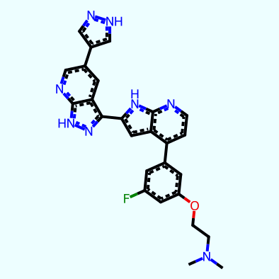 CN(C)CCOc1cc(F)cc(-c2ccnc3[nH]c(-c4n[nH]c5ncc(-c6cn[nH]c6)cc45)cc23)c1